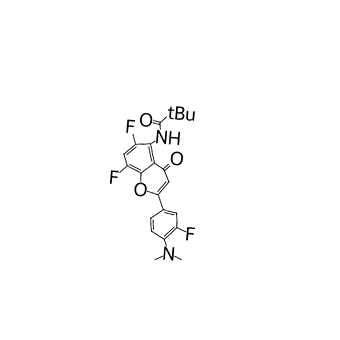 CN(C)c1ccc(-c2cc(=O)c3c(NC(=O)C(C)(C)C)c(F)cc(F)c3o2)cc1F